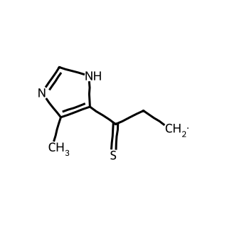 [CH2]CC(=S)c1[nH]cnc1C